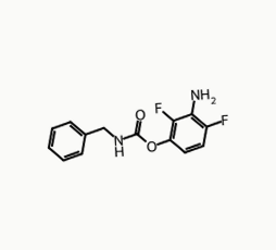 Nc1c(F)ccc(OC(=O)NCc2ccccc2)c1F